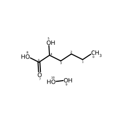 CCCCC(O)C(=O)O.OO